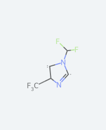 FC(F)N1[C]C(C(F)(F)F)N=[C]1